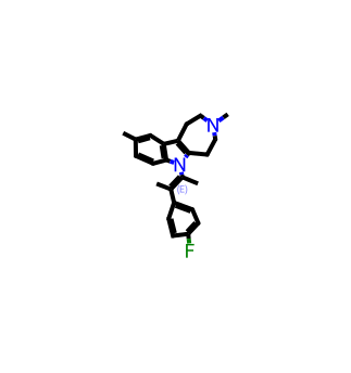 C/C(=C(/C)n1c2c(c3cc(C)ccc31)CCN(C)CC2)c1ccc(F)cc1